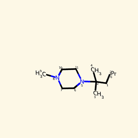 CC(C)CC(C)(C)N1CCN(C)CC1